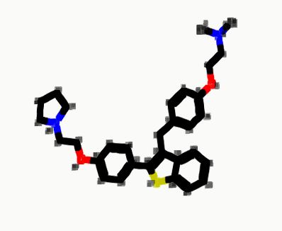 CCN(CC)CCOc1ccc(Cc2c(-c3ccc(OCCN4CCCC4)cc3)sc3ccccc23)cc1